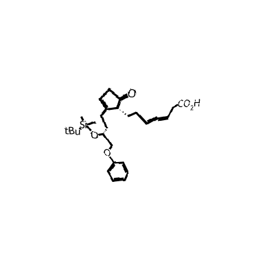 CC(C)(C)[Si](C)(C)O[C@H](CCC1=CCC(=O)[C@@H]1CCC=C=CCC(=O)O)COc1ccccc1